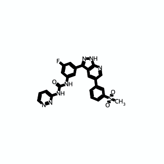 CS(=O)(=O)c1cccc(-c2cnc3[nH]nc(-c4cc(F)cc(NC(=O)Nc5cccnn5)c4)c3c2)c1